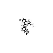 Cc1nc(C(F)(F)F)cn1-c1ccc(Br)cc1C(=N)Nc1ccc2c(c1)OC(F)(F)O2